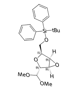 COC(OC)[C@@H]1O[C@@H](CO[Si](c2ccccc2)(c2ccccc2)C(C)(C)C)[C@H]2O[C@H]21